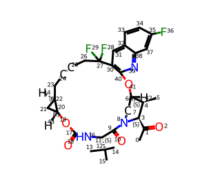 CC(=O)[C@@H]1[C@H](C)[C@@H]2CN1C(=O)[C@H](C(C)(C)C)NC(=O)O[C@@H]1C[C@H]1CCCCC(F)(F)c1cc3ccc(F)cc3nc1O2